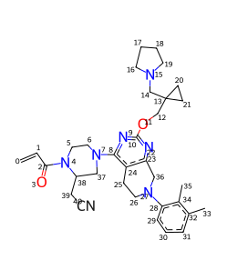 C=CC(=O)N1CCN(c2nc(OCC3(CN4CCCC4)CC3)nc3c2CCN(c2cccc(C)c2C)C3)CC1CC#N